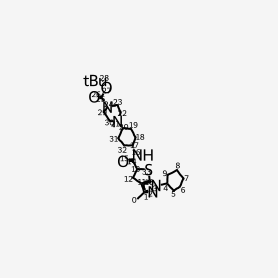 Cc1nn(C2CCCCC2)c2c1CC(C(=O)N[C@H]1CC[C@@H](N3CCN(C(=O)OC(C)(C)C)CC3)CC1)S2